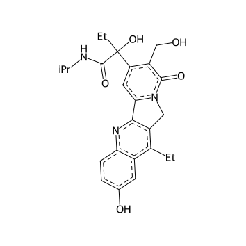 CCc1c2c(nc3ccc(O)cc13)-c1cc(C(O)(CC)C(=O)NC(C)C)c(CO)c(=O)n1C2